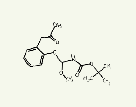 COC(NC(=O)OC(C)(C)C)Oc1ccccc1CC(=O)O